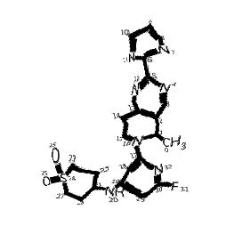 CC1c2cnc(-c3ncccn3)nc2CCN1c1cc(NC2CCS(=O)(=O)CC2)cc(F)n1